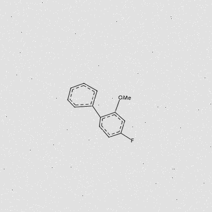 COc1cc(F)ccc1-c1ccccc1